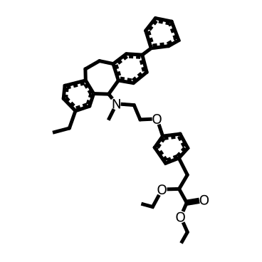 CCOC(=O)C(Cc1ccc(OCCN(C)C2c3ccc(-c4ccccc4)cc3CCc3ccc(CC)cc32)cc1)OCC